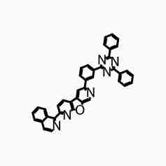 c1ccc(-c2nc(-c3ccccc3)nc(-c3cccc(-c4cc5c(cn4)oc4nc(-c6nccc7ccccc67)ccc45)c3)n2)cc1